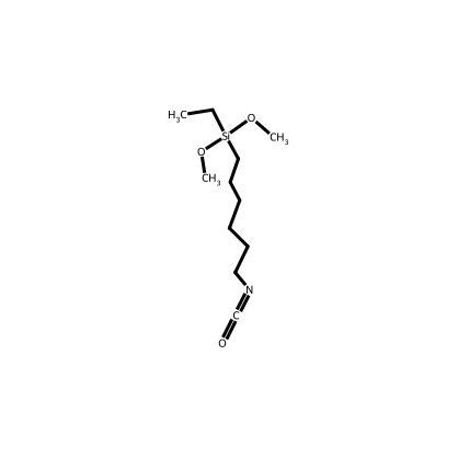 CC[Si](CCCCCCN=C=O)(OC)OC